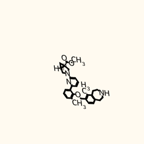 COC(=O)[C@]12C[C@H]1CN(c1cccc(-c3cccc(C)c3OCc3ccc4c(c3C)CCNCC4)n1)C2